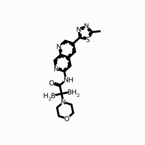 BC(B)(C(=O)Nc1cc2cc(-c3nnc(C)s3)cnc2cn1)N1CCOCC1